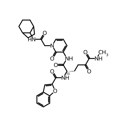 CNC(=O)C(=O)CC[C@H](NC(=O)c1cc2ccccc2o1)C(=O)Nc1cccn(CC(=O)NC2C3CCCC2CC3)c1=O